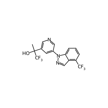 CC(O)(c1cncc(-n2ncc3c(C(F)(F)F)cccc32)c1)C(F)(F)F